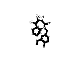 C=Cc1cc(CN2C(=O)CC(C(=O)O)=C(Br)c3ccccc32)ccc1C